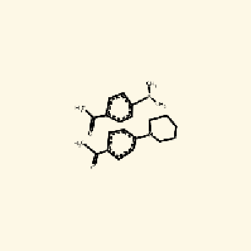 CC(=O)c1ccc(N(C)C)cc1.CC(=O)c1ccc(N2CCCCC2)cc1